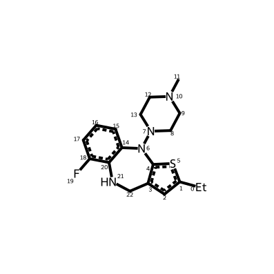 CCc1cc2c(s1)N(N1CCN(C)CC1)c1cccc(F)c1NC2